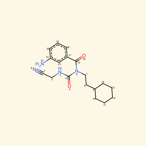 N#CCNC(=O)N(CCC1CCCCC1)C(=O)c1cccc(N)c1